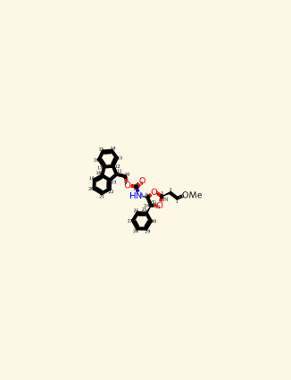 COCC[C@@H]1O[C@@H](NC(=O)OCC2c3ccccc3-c3ccccc32)[C@H](c2ccccc2)O1